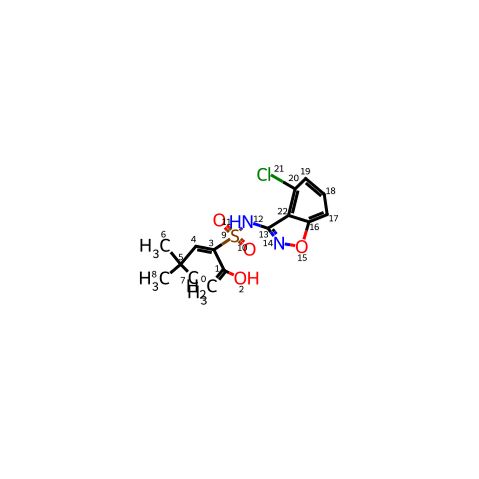 C=C(O)/C(=C\C(C)(C)C)S(=O)(=O)Nc1noc2cccc(Cl)c12